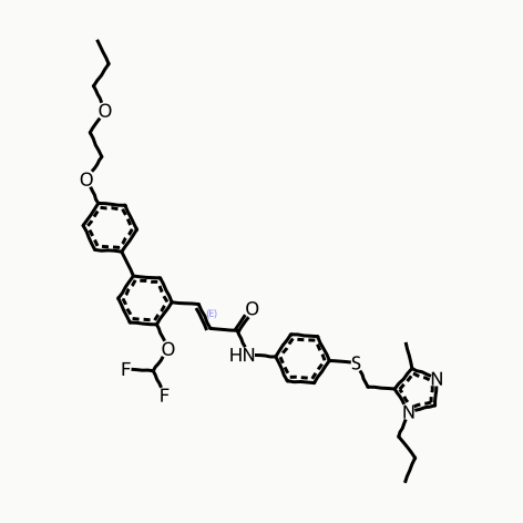 CCCOCCOc1ccc(-c2ccc(OC(F)F)c(/C=C/C(=O)Nc3ccc(SCc4c(C)ncn4CCC)cc3)c2)cc1